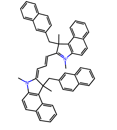 CN1/C(=C/C=C/C2=[N+](C)c3ccc4ccccc4c3C2(C)Cc2ccc3ccccc3c2)C(C)(Cc2ccc3ccccc3c2)c2c1ccc1ccccc21